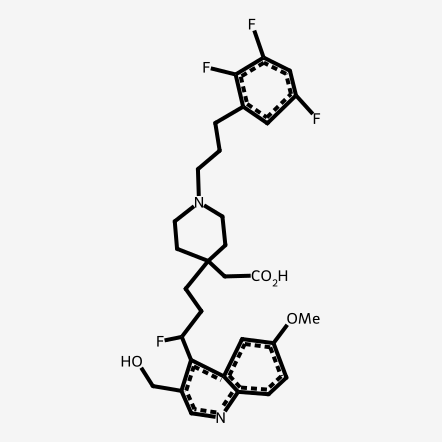 COc1ccc2ncc(CO)c(C(F)CCC3(CC(=O)O)CCN(CCCc4cc(F)cc(F)c4F)CC3)c2c1